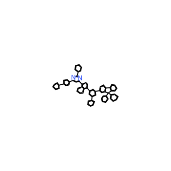 c1ccc(-c2ccc(-c3cc(-c4ccc(-c5cc(-c6ccccc6)cc(-c6ccc7c(c6)C(c6ccccc6)(c6ccccc6)c6ccccc6-7)c5)c5ccccc45)nc(-c4ccccc4)n3)cc2)cc1